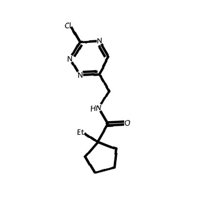 CCC1(C(=O)NCc2cnc(Cl)nn2)CCCC1